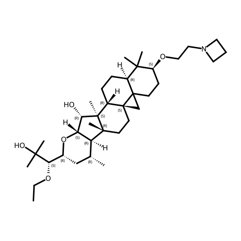 CCO[C@@H]([C@H]1C[C@@H](C)[C@H]2[C@H](O1)[C@H](O)[C@@]1(C)[C@@H]3CC[C@H]4C(C)(C)[C@@H](OCCN5CCC5)CCC45C[C@@]35CC[C@]21C)C(C)(C)O